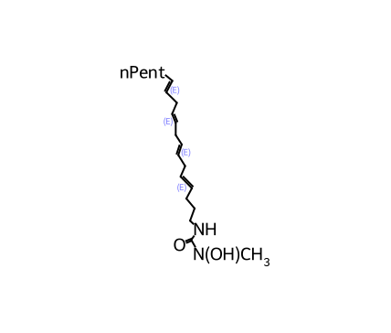 CCCCC/C=C/C/C=C/C/C=C/C/C=C/CCCNC(=O)N(C)O